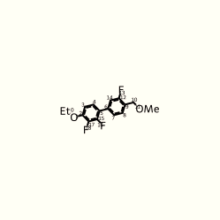 CCOc1ccc(-c2ccc(COC)c(F)c2)c(F)c1F